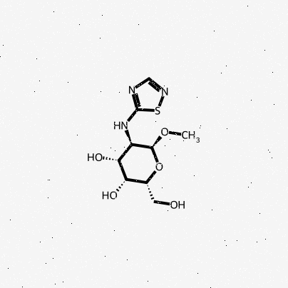 CO[C@H]1O[C@H](CO)[C@H](O)[C@H](O)[C@H]1Nc1ncns1